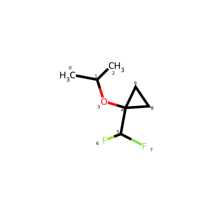 CC(C)OC1(C(F)F)CC1